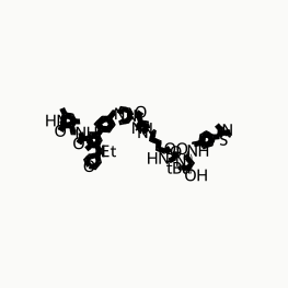 CCN(c1cc(-c2ccc(CN3CCN(C(=O)c4cn(CCCCC(=O)NC(C(=O)N5C[C@H](O)C[C@H]5C(=O)NCc5ccc(-c6scnc6C)cc5)C(C)(C)C)nn4)CC3)cc2)cc(C(=O)NCc2c(C)cc(C)[nH]c2=O)c1C)C1CCOCC1